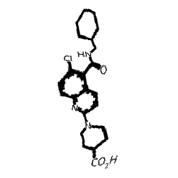 O=C(NCC1CCCCC1)c1c(Cl)ccc2nc(N3CCC(C(=O)O)CC3)ccc12